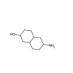 NC1CCC2CC(O)CCC2C1